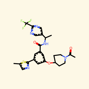 CC(=O)N1CCC(Oc2cc(C(=O)NC(C)c3cnc(C(F)(F)F)nc3)cc(-c3ncc(C)s3)c2)CC1